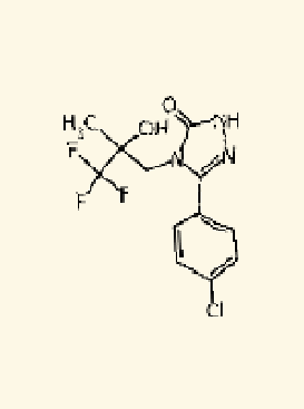 CC(O)(Cn1c(-c2ccc(Cl)cc2)n[nH]c1=O)C(F)(F)F